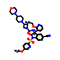 CCOc1ncccc1[C@]1(NC(=O)N2CC(N3CCC(N4CCOCC4)CC3)C2)C(=O)N(S(=O)(=O)c2ccc(OC)cn2)c2ccc(C#N)cc21